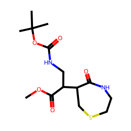 COC(=O)C(CNC(=O)OC(C)(C)C)C1CSCCNC1=O